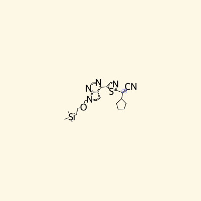 C[Si](C)(C)CCOCn1ccc2c(-c3cnc(/C(=C\C#N)C4CCCC4)s3)ncnc21